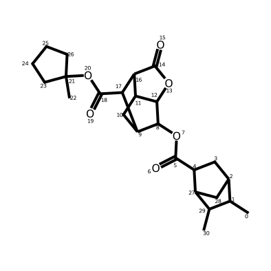 CC1C2CC(C(=O)OC3C4CC5C3OC(=O)C5C4C(=O)OC3(C)CCCC3)C(C2)C1C